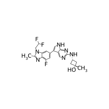 Cc1nc2c(F)cc(-c3c[nH]c4nc(N[C@H]5C[C@@](C)(O)C5)ncc34)cc2n1CC(F)F